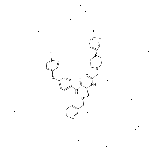 O=C(CN1CCN(c2ccc(F)cc2)CC1)N[C@@H](COCc1ccccc1)C(=O)Nc1ccc(Oc2ccc(F)cc2)cc1